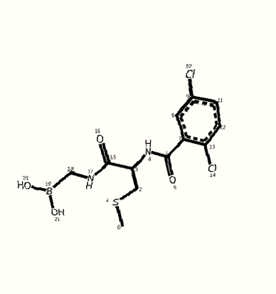 CSCC(NC(=O)c1cc(Cl)ccc1Cl)C(=O)NCB(O)O